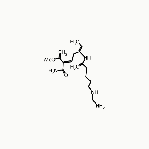 C=C(CCCCNCN)N/C(=C/C)C/C=C(\C(=C)OC)C(N)=O